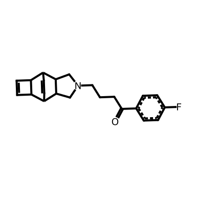 O=C(CCCN1CC2C3C=CC(C4C=CC43)C2C1)c1ccc(F)cc1